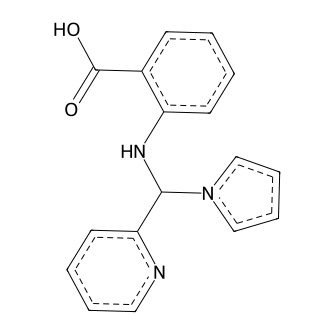 O=C(O)c1ccccc1NC(c1ccccn1)n1cccc1